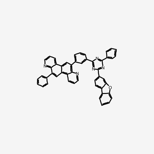 c1ccc(-c2nc(-c3cccc(-c4cc5c6cccnc6c(-c6ccccc6)cc5c5cccnc45)c3)nc(-c3ccc4c(c3)oc3ccccc34)n2)cc1